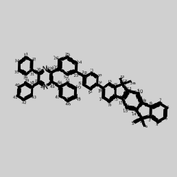 CC1(C)c2ccccc2-c2cc3c(cc21)-c1ccc(-c2ccc(-c4cccc(-c5nc(-c6ccccc6)c(-c6ccccc6)nc5-c5ccccc5)c4)cc2)cc1C3(C)C